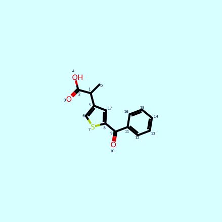 CC(C(=O)O)c1csc(C(=O)c2ccccc2)c1